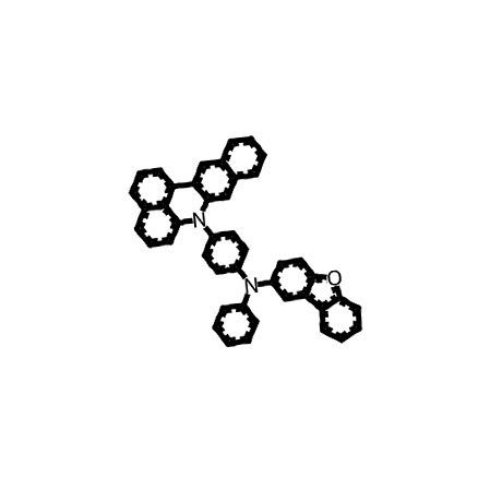 c1ccc(N(c2ccc(N3c4cc5ccccc5cc4-c4cccc5cccc3c45)cc2)c2ccc3oc4ccccc4c3c2)cc1